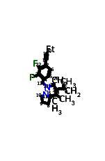 C=C(C)C1=C(C)C2(C)CCCN2N(Cc2ccc(C#CCC)c(F)c2F)C1=C